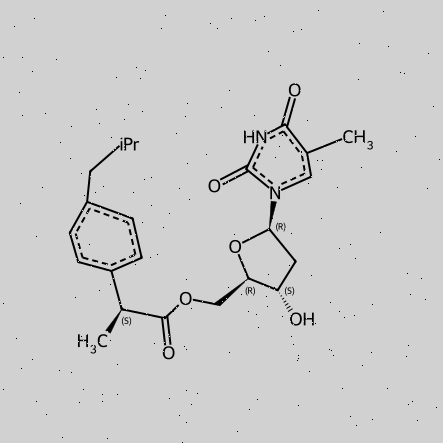 Cc1cn([C@H]2C[C@H](O)[C@@H](COC(=O)[C@@H](C)c3ccc(CC(C)C)cc3)O2)c(=O)[nH]c1=O